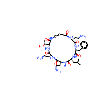 CC(C)C[C@@H]1NC(=O)[C@@H](Cc2ccccc2)NC(=O)[C@H](CCN)NC(=O)CCCNC(=O)[C@H]([C@@H](C)O)NC(=O)[C@H](CCN)NC(=O)[C@H](CCN)NC1=O